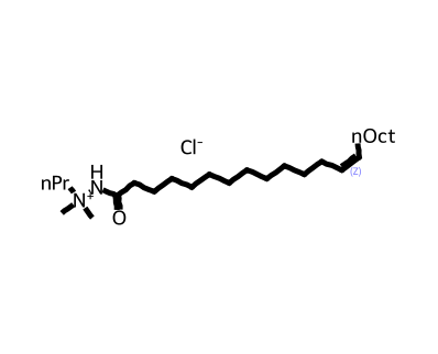 CCCCCCCC/C=C\CCCCCCCCCCCC(=O)N[N+](C)(C)CCC.[Cl-]